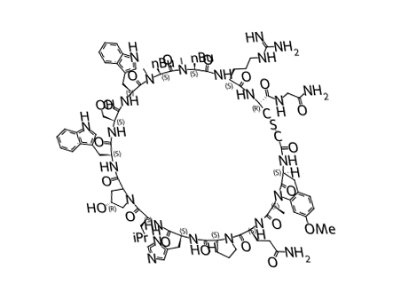 CCCC[C@H]1C(=O)N(C)[C@@H](CCCC)C(=O)N[C@@H](CCCNC(=N)N)C(=O)N[C@H](C(=O)NCC(N)=O)CSCC(=O)N[C@H]2Cc3ccc(OC)cc3N(C2=O)[C@@H](C)C(=O)N[C@@H](CCC(N)=O)C(=O)N2CCC[C@H]2C(=O)N[C@@H](Cc2cnc[nH]2)C(=O)N[C@@H](CC(C)C)C(=O)N2C[C@H](O)CC2C(=O)N[C@@H](Cc2c[nH]c3ccccc23)C(=O)N[C@@H](CO)C(=O)N[C@@H](Cc2c[nH]c3ccccc23)C(=O)N1C